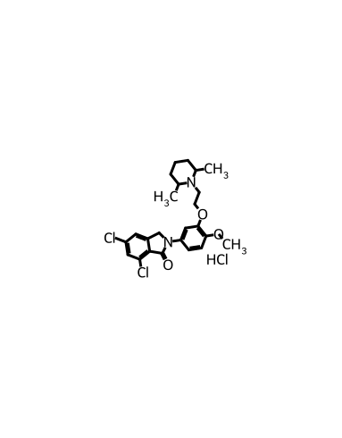 COc1ccc(N2Cc3cc(Cl)cc(Cl)c3C2=O)cc1OCCN1C(C)CCCC1C.Cl